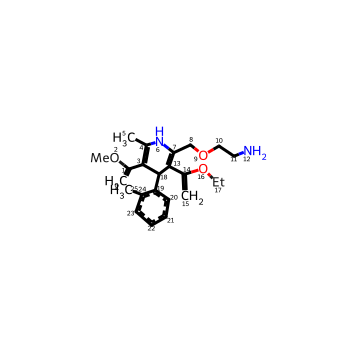 C=C(OC)C1=C(C)NC(COCCN)=C(C(=C)OCC)C1c1ccccc1C